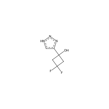 OC1(c2c[nH]nn2)CC(F)(F)C1